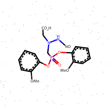 COc1ccccc1OP(=O)(CN(CC(=O)O)NN=O)Oc1ccccc1OC